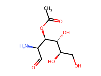 CC(=O)O[C@@H]([C@H](O)[C@H](O)CO)[C@H](N)C=O